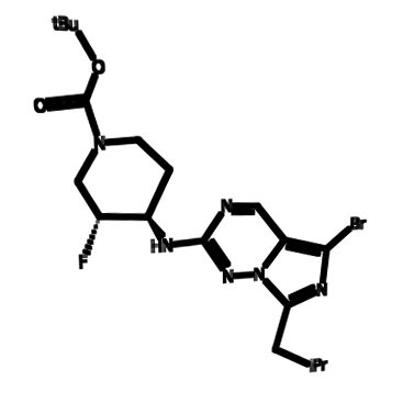 CC(C)Cc1nc(Br)c2cnc(N[C@@H]3CCN(C(=O)OC(C)(C)C)C[C@H]3F)nn12